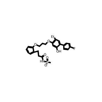 CCc1cc(-c2ccc(F)cc2)c(O)cc1OCCCOc1ccccc1CCC(=O)NS(C)(=O)=O